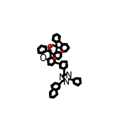 c1ccc(-c2nc(-c3cccc(-c4ccc5c(c4)C4(c6ccccc6O5)c5ccccc5C5(c6ccccc6-c6ccccc65)c5ccccc54)c3)nc(-c3ccc4ccccc4c3)n2)cc1